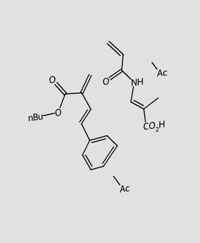 C=C(C=Cc1ccccc1)C(=O)OCCCC.C=CC(=O)NC=C(C)C(=O)O.CC(C)=O.CC(C)=O